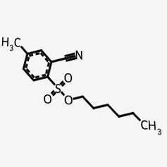 CCCCCCOS(=O)(=O)c1ccc(C)cc1C#N